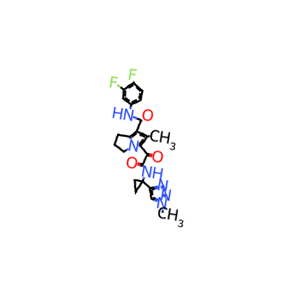 Cc1c(C(=O)Nc2ccc(F)c(F)c2)c2n(c1C(=O)C(=O)NC1(c3cn(C)nn3)CC1)CCC2